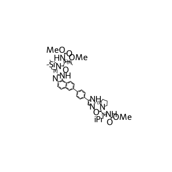 COC(=O)N[C@H](C(=O)N1CCC[C@H]1c1ncc(-c2ccc(-c3ccc4c(ccc5nc([C@@H]6C[Si](C)(C)CN6C(=O)[C@@H](NC(=O)OC)[C@@H](C)OC)[nH]c54)c3)cc2)[nH]1)C(C)C